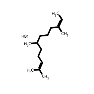 Br.CC=C(C)CCCC(C)CCC=C(C)C